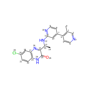 Cc1cnccc1-c1ccnc(N[C@@H](C)c2nc3cc(Cl)ccc3[nH]c2=O)c1